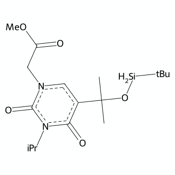 COC(=O)Cn1cc(C(C)(C)O[SiH2]C(C)(C)C)c(=O)n(C(C)C)c1=O